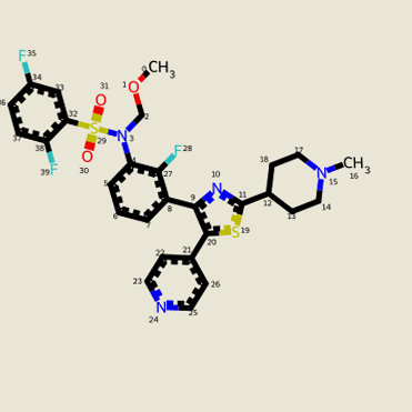 COCN(c1cccc(-c2nc(C3CCN(C)CC3)sc2-c2ccncc2)c1F)S(=O)(=O)c1cc(F)ccc1F